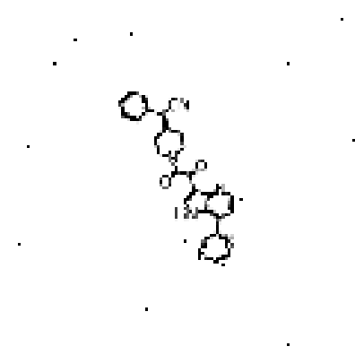 N#CC(=C1CCN(C(=O)C(=O)c2c[nH]c3c(-c4cnccn4)ccnc23)CC1)c1ccccc1